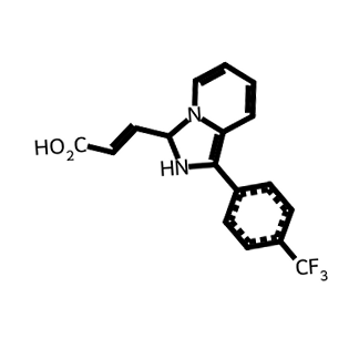 O=C(O)/C=C/C1NC(c2ccc(C(F)(F)F)cc2)=C2C=CC=CN21